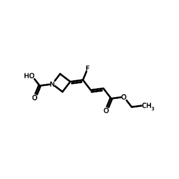 CCOC(=O)C=CC(F)=C1CN(C(=O)O)C1